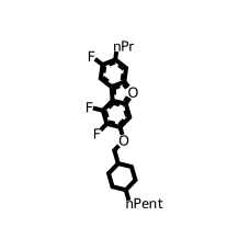 CCCCCC1CCC(COc2cc3oc4cc(CCC)c(F)cc4c3c(F)c2F)CC1